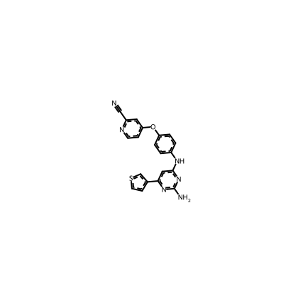 N#Cc1cc(Oc2ccc(Nc3cc(-c4ccsc4)nc(N)n3)cc2)ccn1